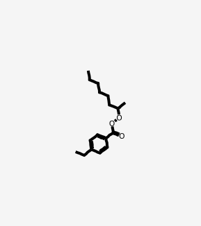 CCCCCC[C](C)OOC(=O)c1ccc(CC)cc1